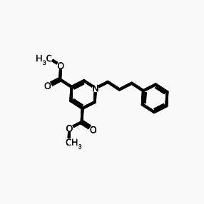 COC(=O)C1=CN(CCCc2ccccc2)CC(C(=O)OC)=C1